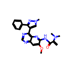 C=C(C(=O)Nc1nc2c(-c3cn(C)nc3-c3ccccc3)ncnc2cc1OC)N(C)C